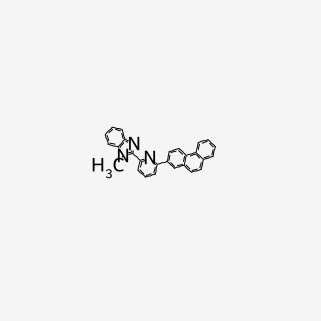 Cn1c(-c2cccc(-c3ccc4c(ccc5ccccc54)c3)n2)nc2ccccc21